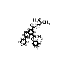 CC(Oc1ccc(F)c(F)c1)c1cc(C(=O)NCCN(C)C)cc2ncc(N3CCOCC3)nc12